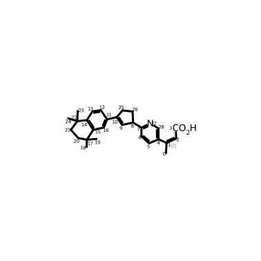 C/C(=C/C(=O)O)c1ccc(C2C=C(c3ccc4c(c3)C(C)(C)CCC4(C)C)CC2)nc1